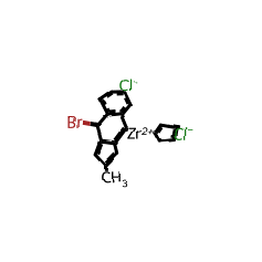 CC1=CC2=[C]([Zr+2][C]3=CC=CC3)c3ccccc3C(Br)C2=C1.[Cl-].[Cl-]